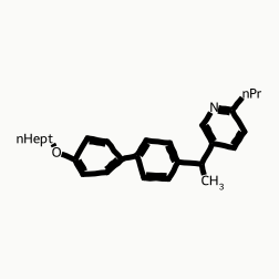 CCCCCCCOc1ccc(-c2ccc(C(C)c3ccc(CCC)nc3)cc2)cc1